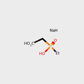 CCP(=O)(O)CC(=O)O.[NaH]